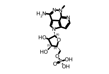 CN1N=C(N)c2cn([C@@H]3O[C@H](COP(=O)(O)O)[C@@H](O)C3O)c3ccnc1c23